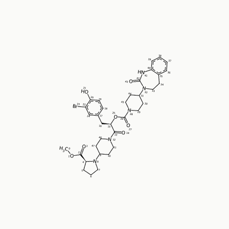 COC(=O)[C@@H]1CCCN1C1CCN(C(=O)[C@@H](Cc2ccc(O)c(Br)c2)OC(=O)N2CCC(N3CCc4ccccc4NC3=O)CC2)CC1